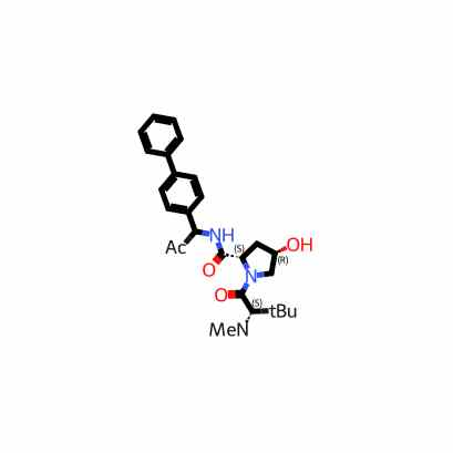 CN[C@H](C(=O)N1C[C@H](O)C[C@H]1C(=O)NC(C(C)=O)c1ccc(-c2ccccc2)cc1)C(C)(C)C